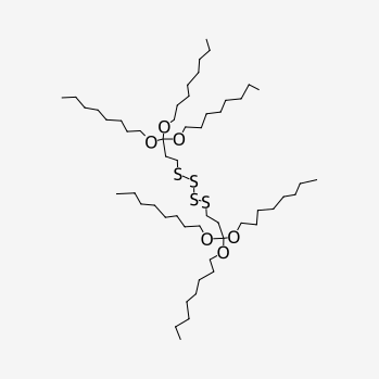 CCCCCCCCOC(CCSSSSCCC(OCCCCCCCC)(OCCCCCCCC)OCCCCCCCC)(OCCCCCCCC)OCCCCCCCC